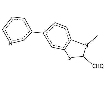 CN1c2ccc(-c3cccnc3)cc2SC1C=O